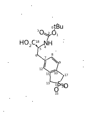 CC(C)(C)OC(=O)N[C@@H](Cc1ccc2c(c1)CS(=O)(=O)C2)C(=O)O